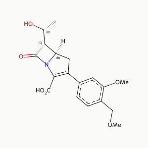 COCc1ccc(C2=C(C(=O)O)N3C(=O)[C@H]([C@@H](C)O)[C@H]3C2)cc1OC